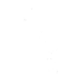 O=C(O)CNC(=O)CCCOc1ccnc(F)c1